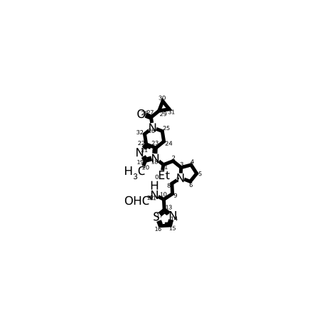 CCC(CC1CCCN1CCC(NC=O)c1nccs1)n1c(C)nc2c1CCN(C(=O)C1CC1)C2